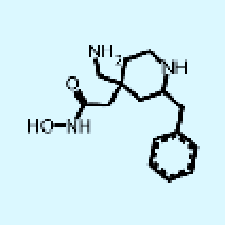 NCC1(CC(=O)NO)CCNC(Cc2ccccc2)C1